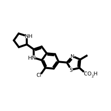 Cc1nc(-c2cc(Cl)c3[nH]c(C4CCCN4)cc3c2)sc1C(=O)O